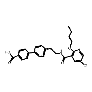 CCCCOc1ncc(Cl)cc1C(=O)NCCc1ccc(-c2ccc(C(=O)O)cc2)cc1